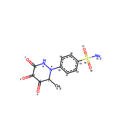 CC1C(=O)C(=O)C(=O)NN1c1ccc(S(N)(=O)=O)cc1